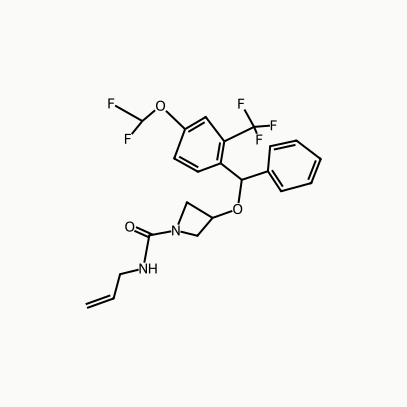 C=CCNC(=O)N1CC(OC(c2ccccc2)c2ccc(OC(F)F)cc2C(F)(F)F)C1